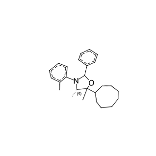 Cc1ccccc1N1C(c2ccccc2)OC(C)(C2CCCCCCC2)[C@@H]1C